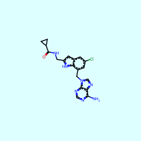 Nc1ncnc2c1ncn2Cc1cc(Cl)cc2cc(CNC(=O)C3CC3)[nH]c12